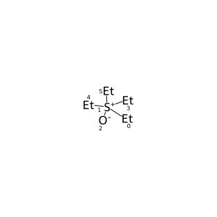 CC[S+]([O-])(CC)(CC)CC